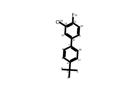 CC(C)(C)c1ccc(-c2ccc(F)c(Cl)c2)cc1